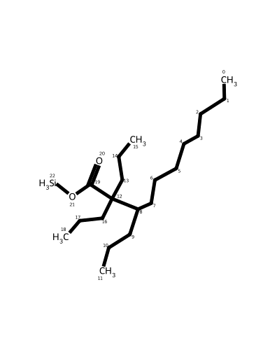 CCCCCCCCC(CCC)C(CCC)(CCC)C(=O)O[SiH3]